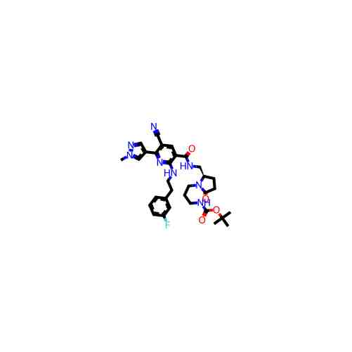 Cn1cc(-c2nc(NCCc3cccc(F)c3)c(C(=O)NC[C@H]3CCC(=O)N3CCCNC(=O)OC(C)(C)C)cc2C#N)cn1